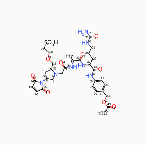 CC(C)[C@H](NC(=O)CN1C[C@@H](N2C(=O)C=CC2=O)C[C@H]1COCCS(=O)(=O)O)C(=O)N[C@@H](CCCNC(N)=O)C(=O)Nc1ccc(COC(=O)C(C)(C)C)cc1